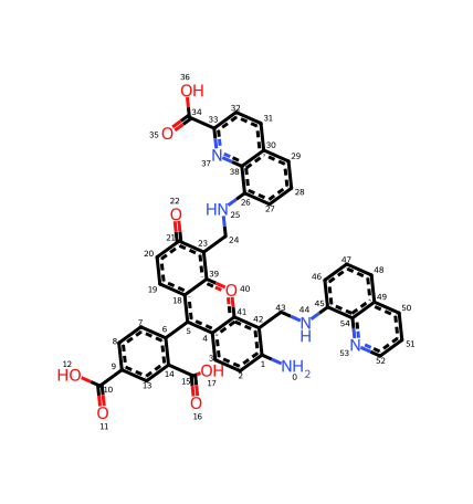 Nc1ccc2c(-c3ccc(C(=O)O)cc3C(=O)O)c3ccc(=O)c(CNc4cccc5ccc(C(=O)O)nc45)c-3oc2c1CNc1cccc2cccnc12